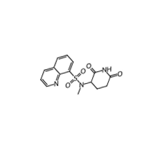 CN(C1CCC(=O)NC1=O)S(=O)(=O)c1cccc2cccnc12